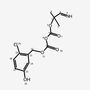 CC(C)(C=N)OC(=O)OC(=O)OCc1cc(O)ccc1Cl